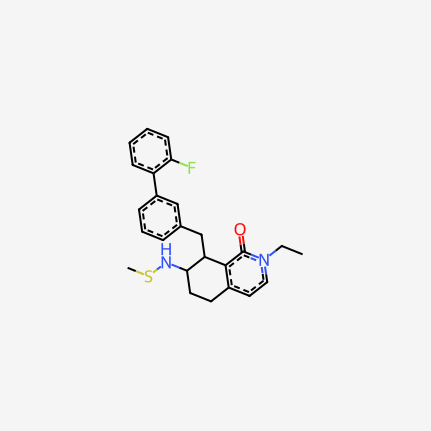 CCn1ccc2c(c1=O)C(Cc1cccc(-c3ccccc3F)c1)C(NSC)CC2